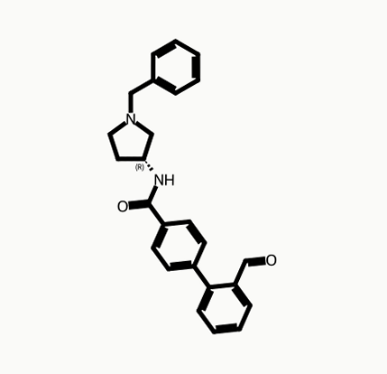 O=Cc1ccccc1-c1ccc(C(=O)N[C@@H]2CCN(Cc3ccccc3)C2)cc1